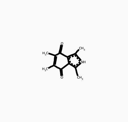 CC1=C(C)C(=O)c2c(C)[nH]c(C)c2C1=O